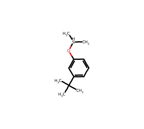 C[SiH](C)Oc1[c]ccc(C(C)(C)C)c1